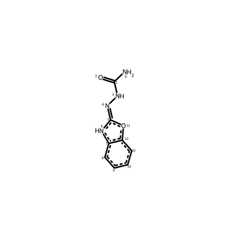 NC(=O)NN=c1[nH]c2ccccc2o1